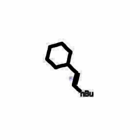 CCCC/C=C/C1CCCCC1